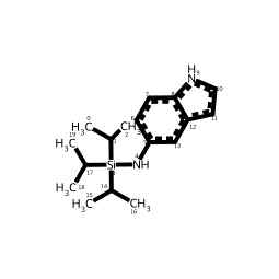 CC(C)[Si](Nc1ccc2[nH]ccc2c1)(C(C)C)C(C)C